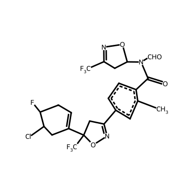 Cc1cc(C2=NOC(C3=CCC(F)C(Cl)C3)(C(F)(F)F)C2)ccc1C(=O)N(C=O)C1CC(C(F)(F)F)=NO1